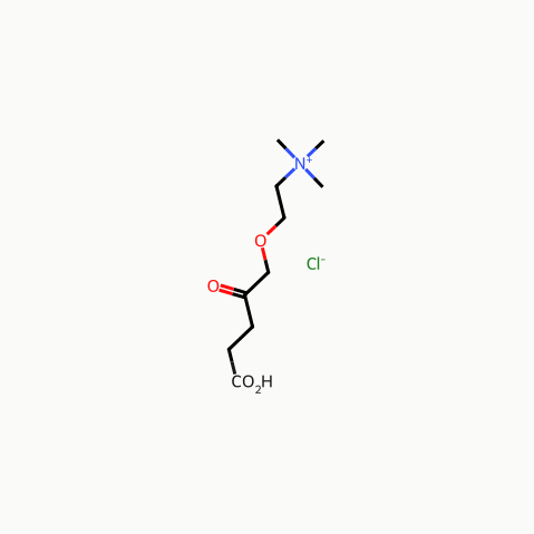 C[N+](C)(C)CCOCC(=O)CCC(=O)O.[Cl-]